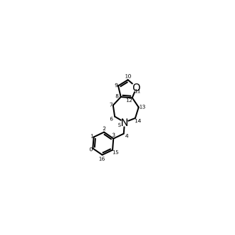 c1ccc(CN2CCc3ccoc3CC2)cc1